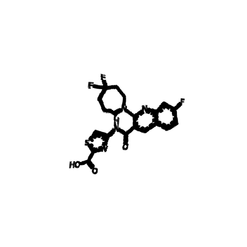 O=C(O)c1nc(NC(=O)c2cc3ccc(F)cc3nc2N2CCCC(F)(F)CC2)cs1